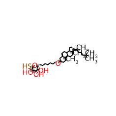 CC(C)CCC[C@@H](C)[C@H]1CCC2C3CC=C4C[C@H](OCCCCCCC[C@H]5O[C@@H](S)[C@H](O)[C@@H](O)[C@H]5O)CC[C@]4(C)C3CC[C@@]21C